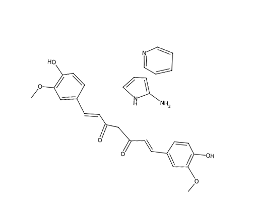 COc1cc(/C=C/C(=O)CC(=O)/C=C/c2ccc(O)c(OC)c2)ccc1O.Nc1ccc[nH]1.c1ccncc1